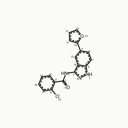 O=C(Nc1n[nH]c2ccc(-c3ccco3)cc12)c1ccccc1Cl